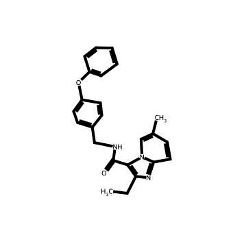 CCc1nc2ccc(C)cn2c1C(=O)NCc1ccc(Oc2ccccc2)cc1